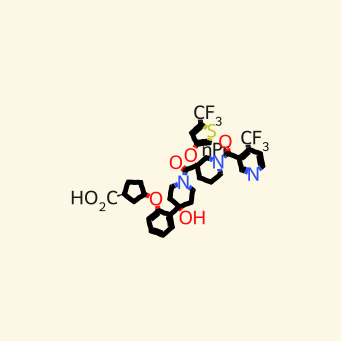 CCC[C@H]1N(C(=O)c2cnccc2C(F)(F)F)CCC[C@@]1(Oc1csc(C(F)(F)F)c1)C(=O)N1CCC(O)(c2ccccc2OC2CC[C@@H](C(=O)O)C2)CC1